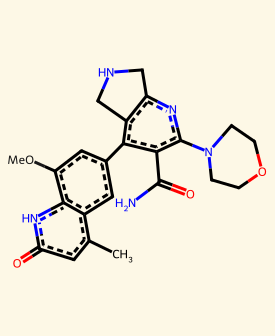 COc1cc(-c2c3c(nc(N4CCOCC4)c2C(N)=O)CNC3)cc2c(C)cc(=O)[nH]c12